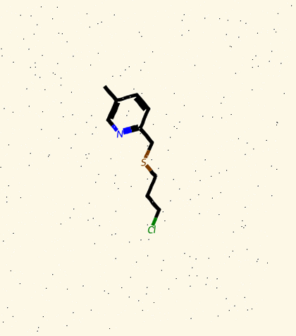 Cc1ccc(CSCCCCl)nc1